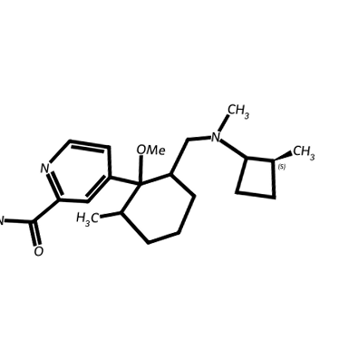 COC1(c2ccnc(C(N)=O)c2)C(C)CCCC1CN(C)C1CC[C@@H]1C